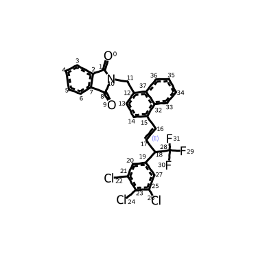 O=C1c2ccccc2C(=O)N1Cc1ccc(/C=C/C(c2cc(Cl)c(Cl)c(Cl)c2)C(F)(F)F)c2ccccc12